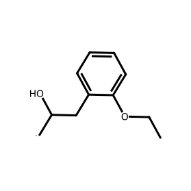 [CH2]C(O)Cc1ccccc1OCC